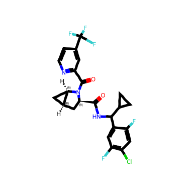 O=C(NC(c1cc(F)c(Cl)cc1F)C1CC1)[C@H]1C[C@H]2C[C@H]2N1C(=O)c1cc(C(F)(F)F)ccn1